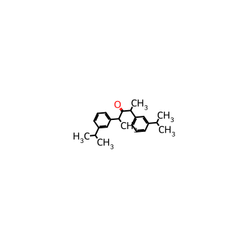 CC(C)c1cccc(C(C)C(=O)C(C)c2cccc(C(C)C)c2)c1